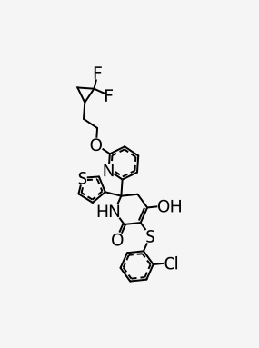 O=C1NC(c2ccsc2)(c2cccc(OCCC3CC3(F)F)n2)CC(O)=C1Sc1ccccc1Cl